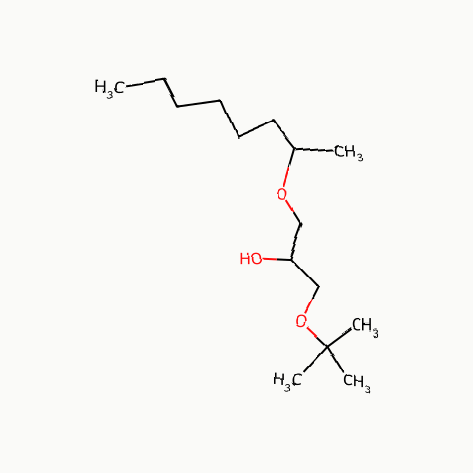 CCCCCCC(C)OCC(O)COC(C)(C)C